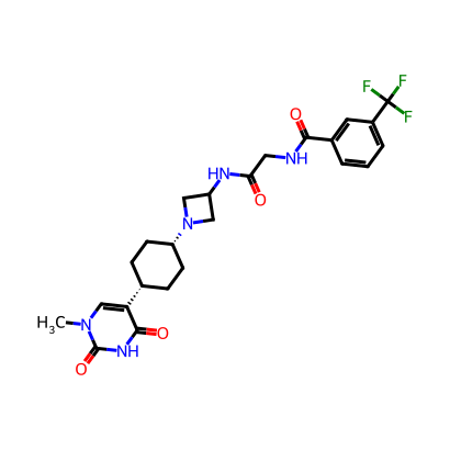 Cn1cc([C@H]2CC[C@@H](N3CC(NC(=O)CNC(=O)c4cccc(C(F)(F)F)c4)C3)CC2)c(=O)[nH]c1=O